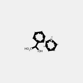 O=C(O)C(O)c1ccccc1.c1ccncc1